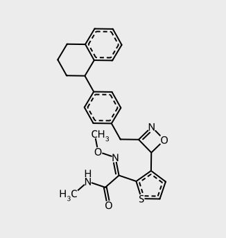 CNC(=O)C(=NOC)c1sccc1C1ON=C1Cc1ccc(C2CCCc3ccccc32)cc1